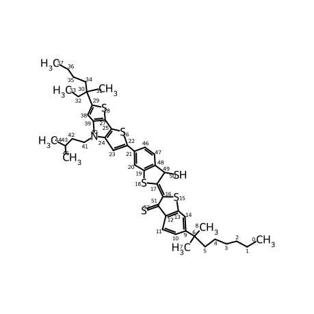 CCCCCCC(C)(C)c1ccc2c(c1)S/C(=C1/Sc3cc(-c4cc5c(s4)c4sc(C(C)(CC)CCCC)cc4n5CCC(C)C)ccc3C1S)C2=S